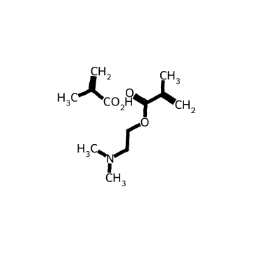 C=C(C)C(=O)O.C=C(C)C(=O)OCCN(C)C